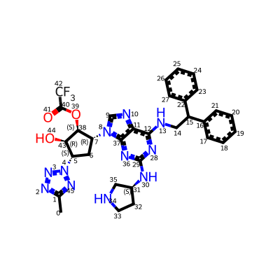 Cc1nnn([C@H]2C[C@@H](n3cnc4c(NCC(c5ccccc5)c5ccccc5)nc(N[C@H]5CCNC5)nc43)[C@H](OC(=O)C(F)(F)F)[C@@H]2O)n1